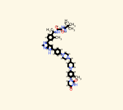 Cc1cc(-c2ncnc3[nH]c(-c4ccc(N5CCN(CC6CCN(c7ccc(N8CCC(=O)NC8=O)c(C)c7)CC6)CC5)cc4)cc23)ccc1C(C)NC(=O)c1nc(C(C)(C)C)no1